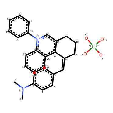 CN(C)c1ccc(/C=C2/CCCc3c[n+](-c4ccccc4)c4ccccc4c32)cc1.[O-][Cl+3]([O-])([O-])[O-]